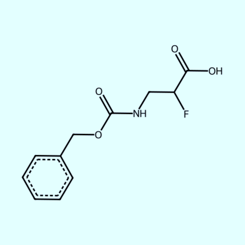 O=C(NCC(F)C(=O)O)OCc1ccccc1